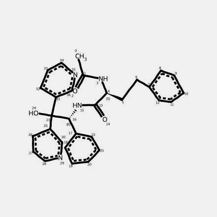 CC(=O)N[C@@H](CCc1ccccc1)C(=O)N[C@H](c1ccccc1)C(O)(c1cccnc1)c1cccnc1